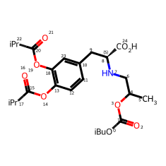 CC(C)COC(=O)OC(C)CN[C@@H](Cc1ccc(OC(=O)C(C)C)c(OC(=O)C(C)C)c1)C(=O)O